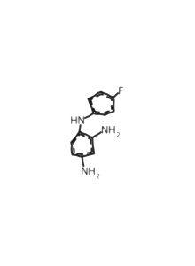 Nc1ccc(Nc2ccc(F)cc2)c(N)c1